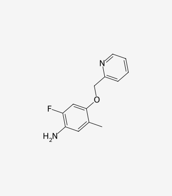 Cc1cc(N)c(F)cc1OCc1ccccn1